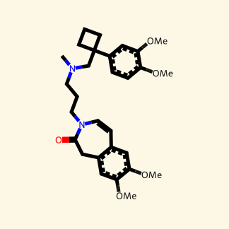 COc1ccc(C2(CN(C)CCCN3C=Cc4cc(OC)c(OC)cc4CC3=O)CCC2)cc1OC